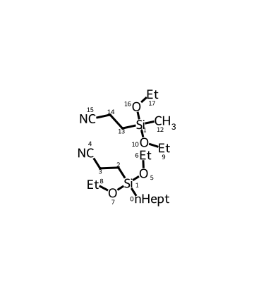 CCCCCCC[Si](CCC#N)(OCC)OCC.CCO[Si](C)(CCC#N)OCC